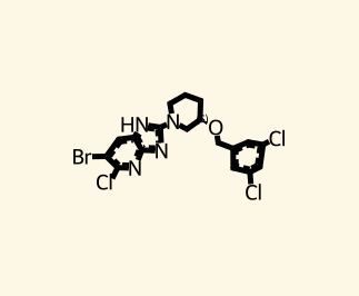 Clc1cc(Cl)cc(CO[C@H]2CCCN(c3nc4nc(Cl)c(Br)cc4[nH]3)C2)c1